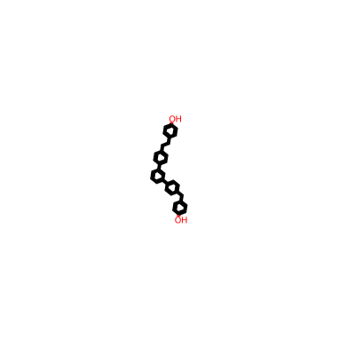 Oc1ccc(CCc2ccc(-c3cccc(-c4ccc(Cc5ccc(O)cc5)cc4)c3)cc2)cc1